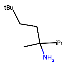 CC(C)C(C)(N)CCC(C)(C)C